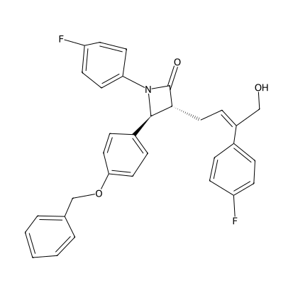 O=C1[C@H](C/C=C(/CO)c2ccc(F)cc2)[C@@H](c2ccc(OCc3ccccc3)cc2)N1c1ccc(F)cc1